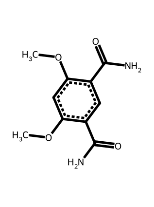 COc1cc(OC)c(C(N)=O)cc1C(N)=O